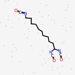 O=C=NCCCCCCCCCCC(N=C=O)N=C=O